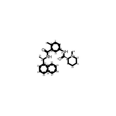 Cc1ccc(NC(=O)[C@@H]2CCCCN2C)cc1C(=O)N[C@H](C)c1cccc2ccccc12